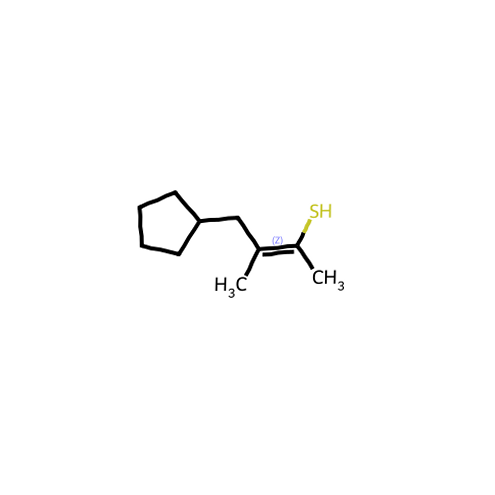 C/C(S)=C(\C)CC1CCCC1